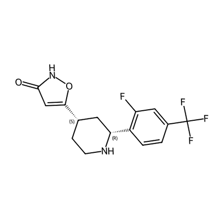 O=c1cc([C@H]2CCN[C@@H](c3ccc(C(F)(F)F)cc3F)C2)o[nH]1